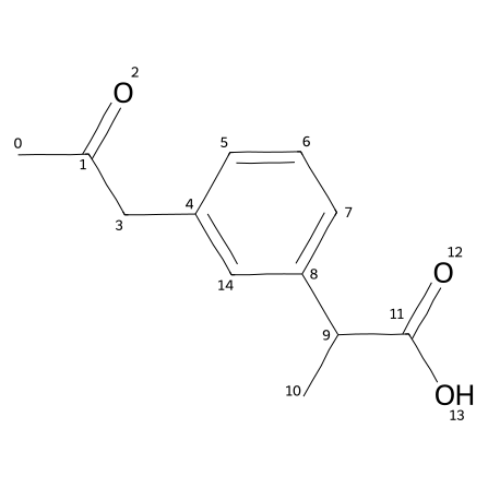 CC(=O)Cc1cccc(C(C)C(=O)O)c1